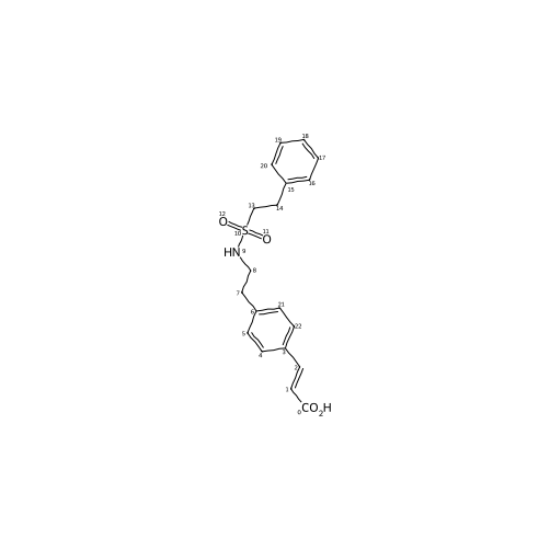 O=C(O)C=Cc1ccc(CCNS(=O)(=O)CCc2ccccc2)cc1